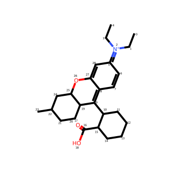 CC[N+](CC)=C1C=CC2=C(C3CCCCC3C(=O)O)C3CCC(C)CC3OC2=C1